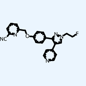 N#Cc1cccc(COc2ccc(-c3nn(CCF)cc3-c3ccncc3)cc2)n1